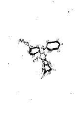 CCCn1c(CN(Cc2ccc(OC)cc2)C(=O)c2ccccc2)nc2cccnc21